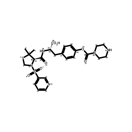 CC1(C)SCN(S(=O)(=O)c2cccnc2)[C@@H]1C(=O)N[C@@H](Cc1ccc(OC(=O)N2CCNCC2)cc1)C(=O)O